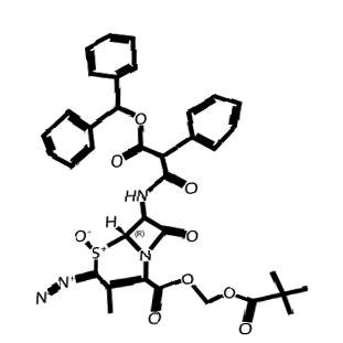 CC1=C(C(=O)OCOC(=O)C(C)(C)C)N2C(=O)C(NC(=O)C(C(=O)OC(c3ccccc3)c3ccccc3)c3ccccc3)[C@H]2[S+]([O-])C1=[N+]=[N-]